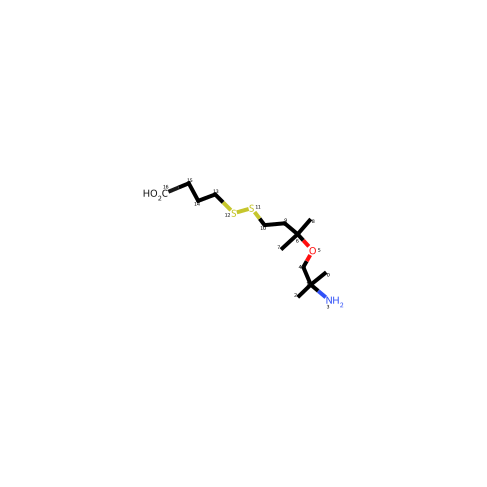 CC(C)(N)COC(C)(C)CCSSCCCC(=O)O